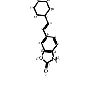 O=c1[nH]c2ccc(/C=C/C3CCCCC3)cc2o1